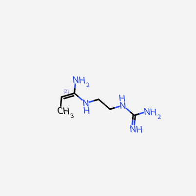 C/C=C(/N)NCCNC(=N)N